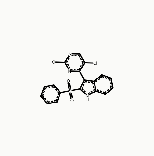 O=S(=O)(c1ccccc1)c1[nH]c2ccccc2c1-c1nc(Cl)ncc1Cl